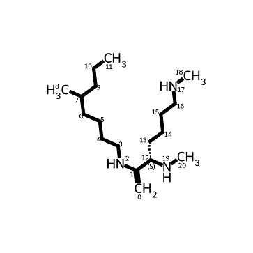 C=C(NCCCCC(C)CCC)[C@H](CCCCNC)NC